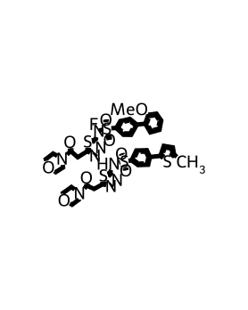 COc1ccccc1-c1ccc(S(=O)(=O)N(F)c2nnc(CC(=O)N3CCOCC3)s2)cc1.Cc1ccc(-c2ccc(S(=O)(=O)Nc3nnc(CC(=O)N4CCOCC4)s3)cc2)s1